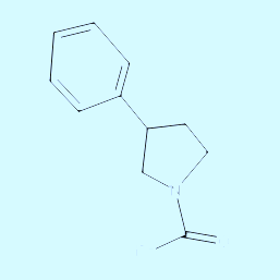 CC(C)C(=O)N1CCC(c2ccccc2)C1